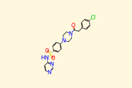 O=C(Cc1ccc(Cl)cc1)N1CCN(c2ccc(S(=O)(=O)Nc3ccncn3)cc2)CC1